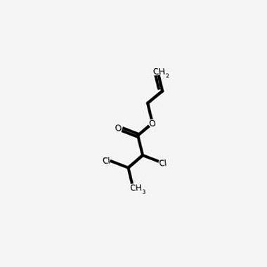 C=CCOC(=O)C(Cl)C(C)Cl